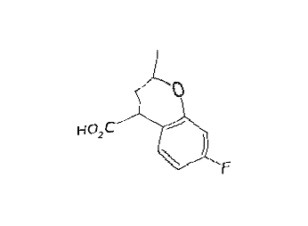 CC1CC(C(=O)O)c2ccc(F)cc2O1